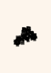 CCC1(CC)CC(=O)N(C(c2cccnc2)[C@@H]2C[C@H]2C(=O)N[C@H]2CCc3ccccc32)C(=N)N1